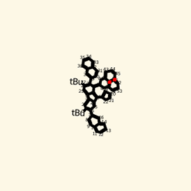 CC(C)(C)c1cc2c(cc1-c1ccc3ccccc3c1)C(C1=CC=CC1)=c1c-2cc(C(C)(C)C)c(-c2ccc3ccccc3c2)c1=C(Cc1ccccc1)Cc1ccccc1